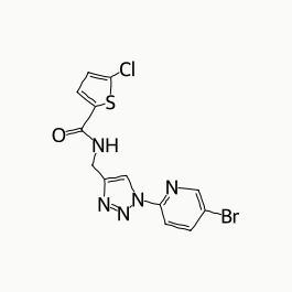 O=C(NCc1cn(-c2ccc(Br)cn2)nn1)c1ccc(Cl)s1